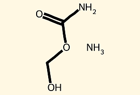 N.NC(=O)OCO